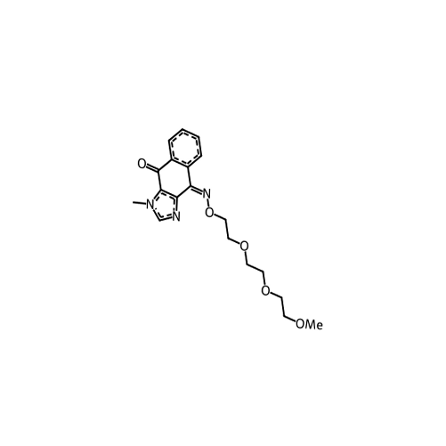 COCCOCCOCCO/N=C1/c2ccccc2C(=O)c2c1ncn2C